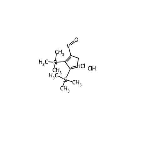 C[Si](C)(C)C1=CC[C]([V]=[O])=C1[Si](C)(C)C.Cl.Cl